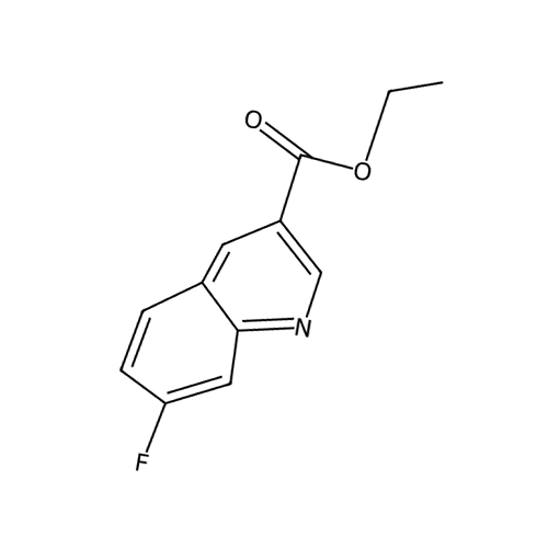 CCOC(=O)c1cnc2cc(F)ccc2c1